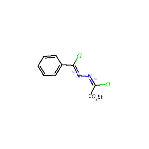 CCOC(=O)/C(Cl)=N\N=C(/Cl)c1ccccc1